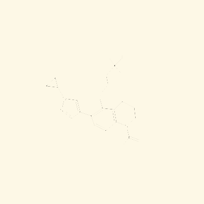 CC(=O)N1c2ccc(-c3cnn(C4CC4)c3)c(OCCC(F)(F)F)c2CC[C@@H]1C